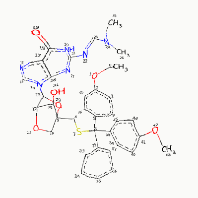 COc1ccc(C(SCC23COC(C(n4cnc5c(=O)[nH]c(N=CN(C)C)nc54)O2)C3O)(c2ccccc2)c2ccc(OC)cc2)cc1